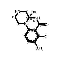 Cc1ccc2c(c1Cl)C(=O)N[C@H]1CNCCN21